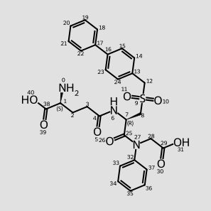 N[C@@H](CCC(=O)N[C@@H](CS(=O)(=O)Cc1ccc(-c2ccccc2)cc1)C(=O)N(CC(=O)O)c1ccccc1)C(=O)O